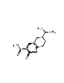 CC(C)C1CCc2[nH]c(=O)c(C(N)=O)cc2C1